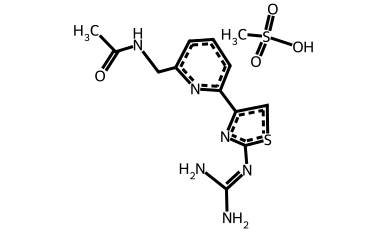 CC(=O)NCc1cccc(-c2csc(N=C(N)N)n2)n1.CS(=O)(=O)O